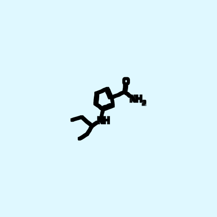 CCC(CC)Nc1cccc(C(N)=O)c1